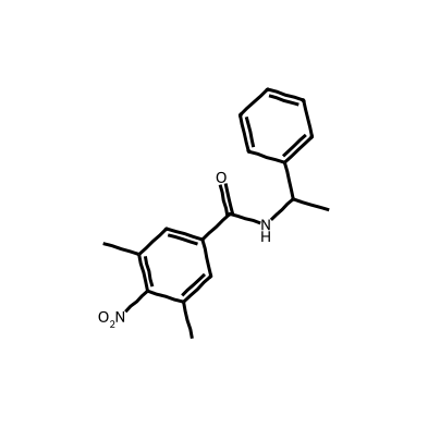 Cc1cc(C(=O)NC(C)c2ccccc2)cc(C)c1[N+](=O)[O-]